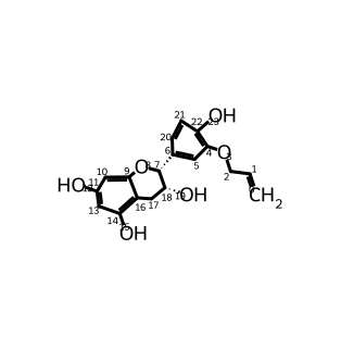 C=CCOc1cc([C@H]2Oc3cc(O)cc(O)c3C[C@H]2O)ccc1O